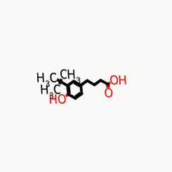 CC(C)(C)c1cc(CCCC(=O)O)ccc1O